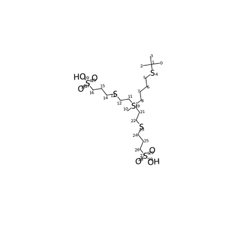 CC(C)(C)SCCCC[Si](C)(CCSCCCS(=O)(=O)O)CCSCCCS(=O)(=O)O